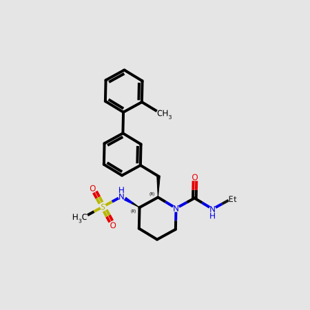 CCNC(=O)N1CCC[C@@H](NS(C)(=O)=O)[C@H]1Cc1cccc(-c2ccccc2C)c1